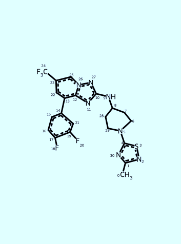 Cc1nsc(N2CCC(Nc3nc4c(-c5ccc(F)c(F)c5)cc(C(F)(F)F)cn4n3)CC2)n1